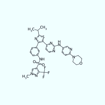 CC(C)c1nc(-c2cccc(NS(=O)(=O)c3cn(C)nc3C(F)(F)F)c2)c(-c2ccnc(Nc3ccc(N4CCOCC4)nc3)n2)s1